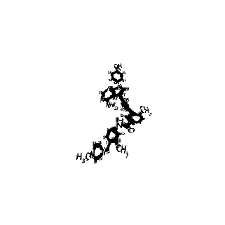 Cc1ccc(C(=O)Nc2ccc(CN3CCN(C)CC3)c(C)c2)cc1C#Cc1cn([C@H]2CC[C@H](O)CC2)c2ncnc(N)c12